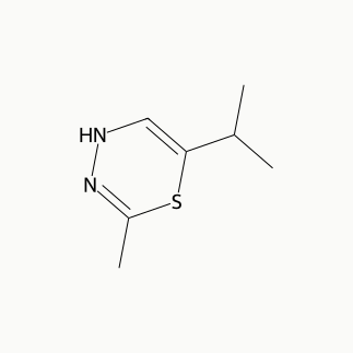 CC1=NNC=C(C(C)C)S1